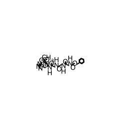 CS(=O)(=O)/C=C/[C@H](Cc1nnn[nH]1)NC(=O)CNC(=O)CNC(=O)CNC(=O)OCc1ccccc1